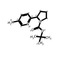 CC(C)(C)OC(=O)N1CCCC1c1ccc(N)cn1